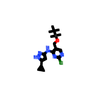 CC(C)(C)[Si](C)(C)OCc1cnc(Cl)nc1Nc1cc(C2CC2)[nH]n1